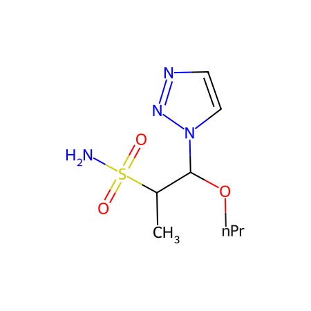 CCCOC(C(C)S(N)(=O)=O)n1ccnn1